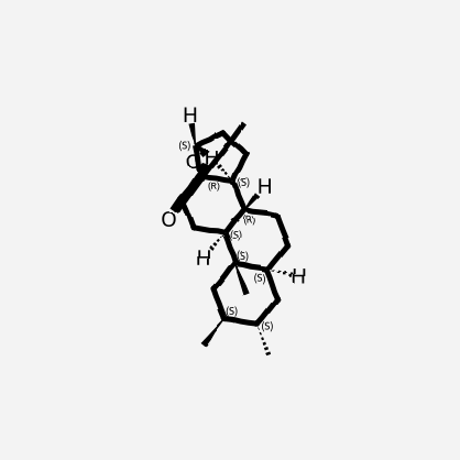 C[C@H]1C[C@@H]2CC[C@@H]3[C@H](CC[C@]45C(=O)OC[C@H]4CC[C@@H]35)[C@@]2(C)C[C@@H]1C